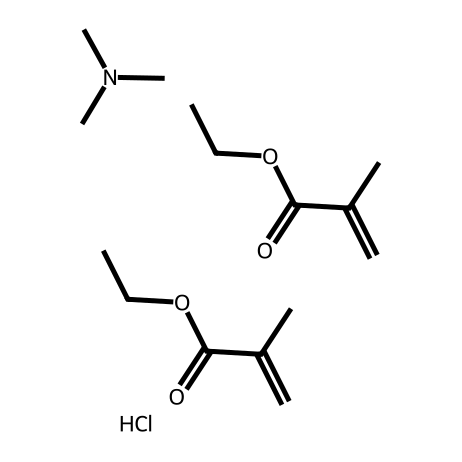 C=C(C)C(=O)OCC.C=C(C)C(=O)OCC.CN(C)C.Cl